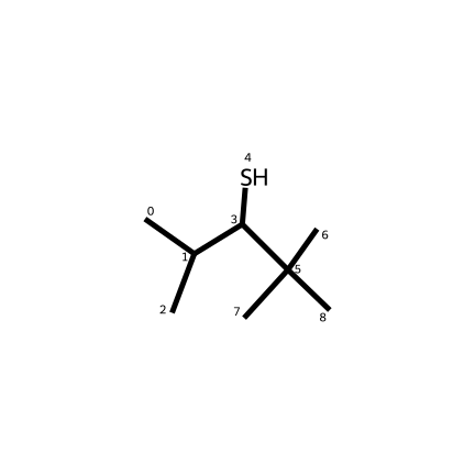 CC(C)C(S)C(C)(C)C